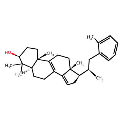 Cc1ccccc1C[C@@H](C)[C@H]1CC=C2C3=C(CC[C@@]21C)[C@@]1(C)CC[C@H](O)C(C)(C)[C@@H]1CC3